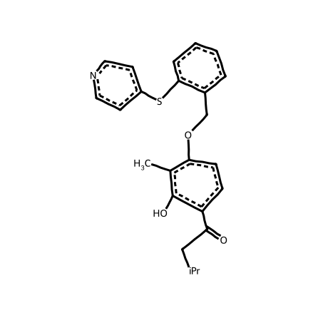 Cc1c(OCc2ccccc2Sc2ccncc2)ccc(C(=O)CC(C)C)c1O